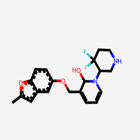 Cc1cc2cc(OCC3=CC=CN(C4CNCCC4(F)F)C3O)ccc2o1